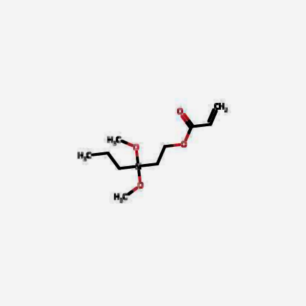 C=CC(=O)OCC[Si](CCC)(OC)OC